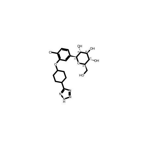 OC[C@H]1O[C@@H](c2ccc(Cl)c(OC3CCC(c4nn[nH]n4)CC3)c2)[C@H](O)[C@@H](O)[C@@H]1O